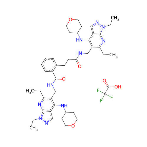 CCc1nc2c(cnn2CC)c(NC2CCOCC2)c1CNC(=O)CCc1ccccc1C(=O)NCc1c(CC)nc2c(cnn2CC)c1NC1CCOCC1.O=C(O)C(F)(F)F